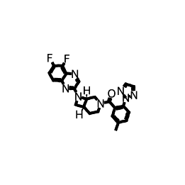 Cc1ccc(-n2nccn2)c(C(=O)N2CC[C@H]3CN(c4cnc5c(F)c(F)ccc5n4)[C@H]3C2)c1